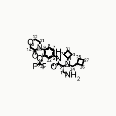 NC[C@@H](C(=O)Nc1ccc(N2CCOCC2=O)c(OC(F)F)c1)N(CC1CCC1)C1CCC1